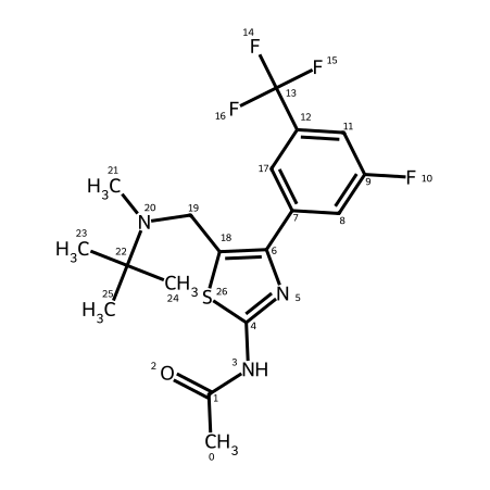 CC(=O)Nc1nc(-c2cc(F)cc(C(F)(F)F)c2)c(CN(C)C(C)(C)C)s1